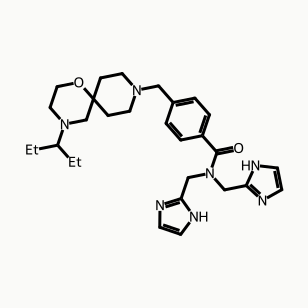 CCC(CC)N1CCOC2(CCN(Cc3ccc(C(=O)N(Cc4ncc[nH]4)Cc4ncc[nH]4)cc3)CC2)C1